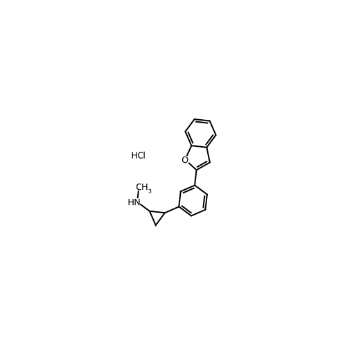 CNC1CC1c1cccc(-c2cc3ccccc3o2)c1.Cl